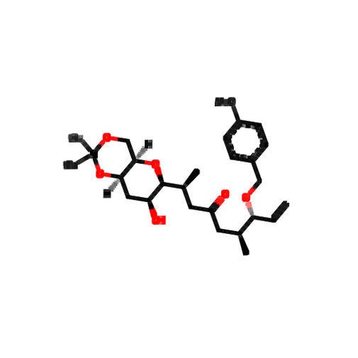 C=C[C@@H](OCc1ccc(OC)cc1)[C@@H](C)CC(=O)C[C@H](C)[C@@H]1O[C@@H]2CO[Si](C(C)(C)C)(C(C)(C)C)O[C@@H]2C[C@@H]1O